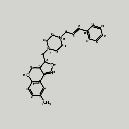 Cc1ccc2c(c1)C1=NOC(CN3CCN(CC=Cc4ccccc4)CC3)C1CO2